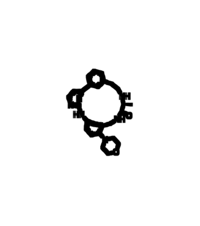 C[C@@H]1NCCc2cccc(c2)-c2ccnc(n2)Nc2ccc(N3CCOCC3)c(c2)CNC1=O